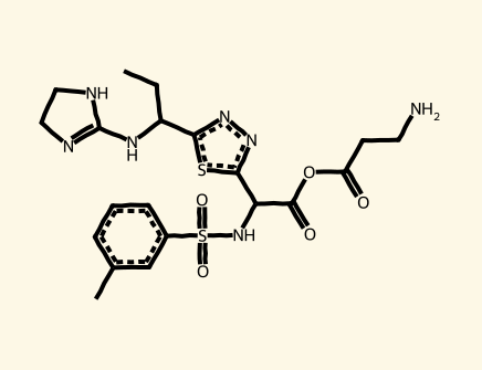 CCC(NC1=NCCN1)c1nnc(C(NS(=O)(=O)c2cccc(C)c2)C(=O)OC(=O)CCN)s1